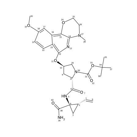 C=C[C@@H]1C[C@]1(NC(=O)[C@@H]1C[C@@H](Oc2nc3c(c4cc(OC)ccc24)OCCN3C)CN1C(=O)OC(C)(C)C)C(N)=O